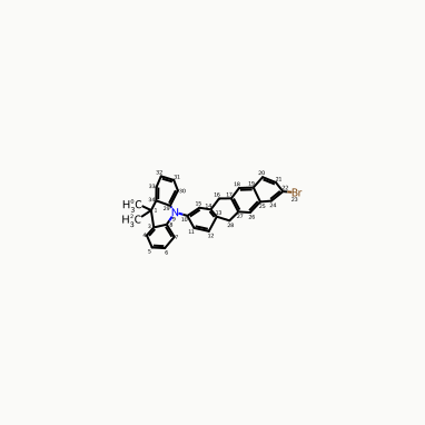 CC1(C)c2ccccc2N(c2ccc3c(c2)Cc2cc4ccc(Br)cc4cc2C3)c2ccccc21